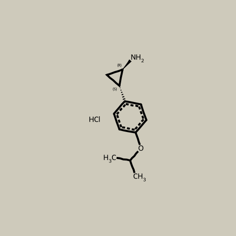 CC(C)Oc1ccc([C@@H]2C[C@H]2N)cc1.Cl